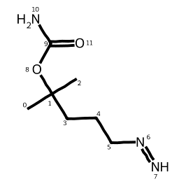 CC(C)(CCCN=N)OC(N)=O